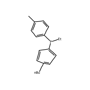 CCCCc1ccc(P(CC)c2ccc(C)cc2)cc1